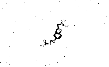 CCCN(CCC)CC1Cc2cc(OCOC(=O)C(C)(C)C)ccc2O1